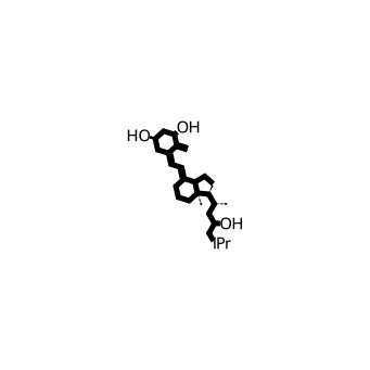 C=C1/C(=C\C=C2CCC[C@@]3(C)C2CC[C@@H]3[C@H](C)CC(O)CC(C)C)C[C@@H](O)CC1O